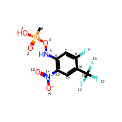 CP(=O)(O)ONc1cc(F)c(C(F)(F)F)cc1[N+](=O)[O-]